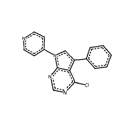 Clc1ncnc2c1c(-c1ccccc1)cn2-c1ccncc1